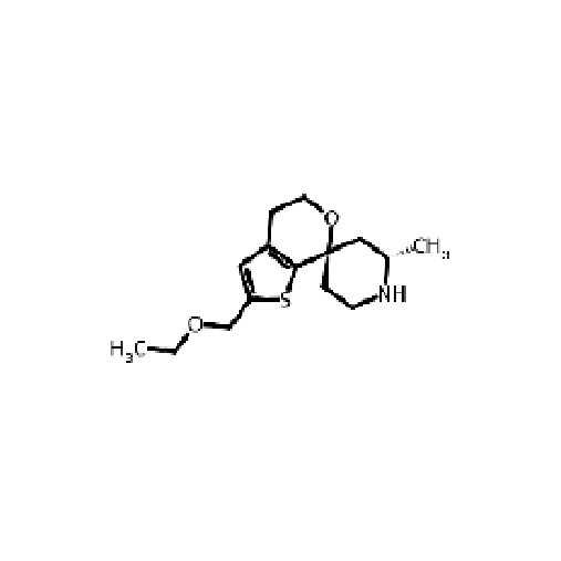 CCOCc1cc2c(s1)[C@]1(CCN[C@@H](C)C1)OCC2